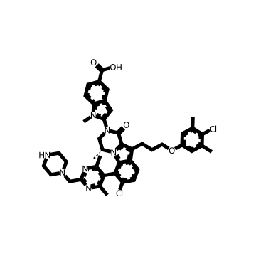 Cc1cc(OCCCc2c3n(c4c(-c5c(C)nc(CN6CCNCC6)nc5C)c(Cl)ccc24)[C@H](C)CN(c2cc4cc(C(=O)O)ccc4n2C)C3=O)cc(C)c1Cl